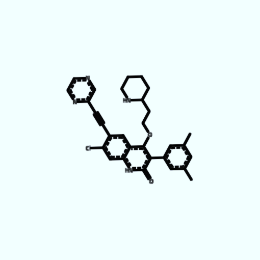 Cc1cc(C)cc(-c2c(OCCC3CCCCN3)c3cc(C#Cc4cnccn4)c(Cl)cc3[nH]c2=O)c1